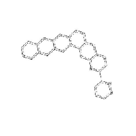 b1cccc(-c2ccc3cc4ccc5cc6cc7ccccc7cc6cc5c4cc3n2)n1